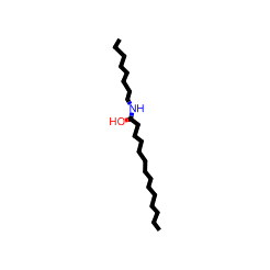 CCCCCCCCCCCCCC(O)NCCCCCCCC